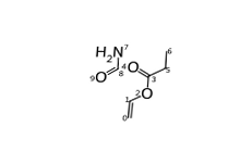 C=COC(=O)CC.NC=O